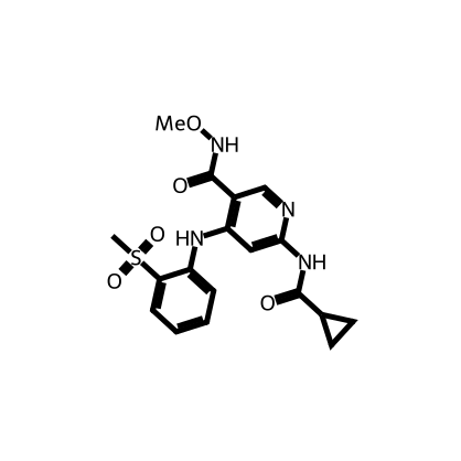 CONC(=O)c1cnc(NC(=O)C2CC2)cc1Nc1ccccc1S(C)(=O)=O